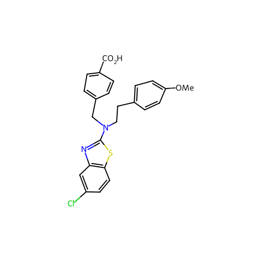 COc1ccc(CCN(Cc2ccc(C(=O)O)cc2)c2nc3cc(Cl)ccc3s2)cc1